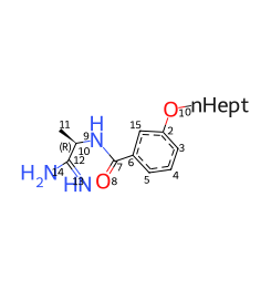 CCCCCCCOc1cccc(C(=O)N[C@H](C)C(=N)N)c1